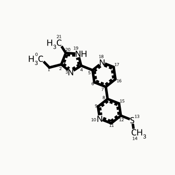 CCc1nc(-c2cc(-c3cncc(SC)c3)ccn2)[nH]c1C